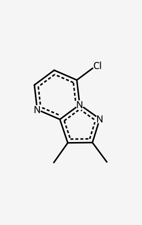 Cc1nn2c(Cl)ccnc2c1C